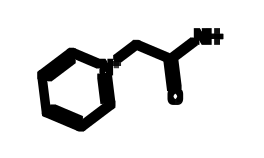 [NH]C(=O)C[n+]1ccccc1